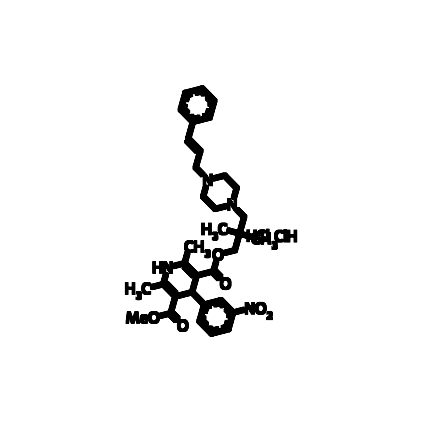 COC(=O)C1=C(C)NC(C)=C(C(=O)OCC(C)(C)CN2CCN(C/C=C/c3ccccc3)CC2)C1c1cccc([N+](=O)[O-])c1.Cl.Cl